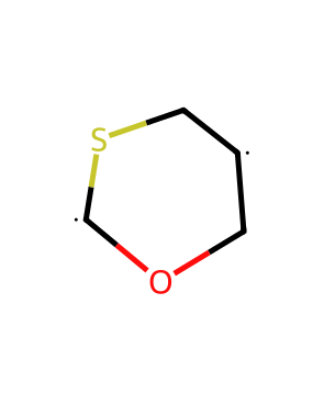 [CH]1CO[CH]SC1